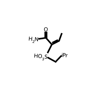 CC(C)CS(=O)(=O)O.CC=C(C)C(N)=O